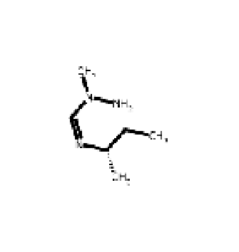 CC[C@H](C)/N=C\N(C)N